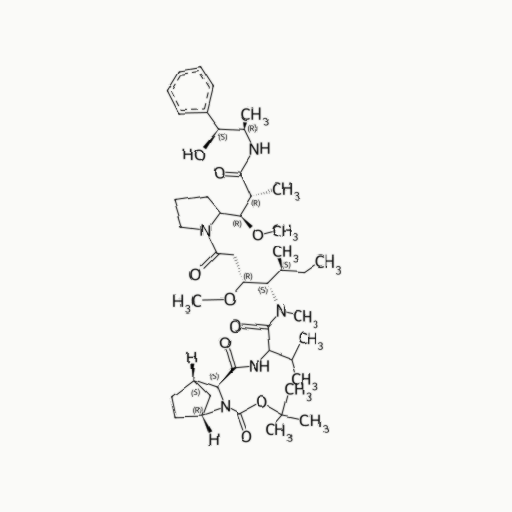 CC[C@H](C)[C@@H]([C@@H](CC(=O)N1CCCC1[C@H](OC)[C@@H](C)C(=O)N[C@H](C)[C@@H](O)c1ccccc1)OC)N(C)C(=O)C(NC(=O)[C@@H]1[C@H]2CC[C@H](C2)N1C(=O)OC(C)(C)C)C(C)C